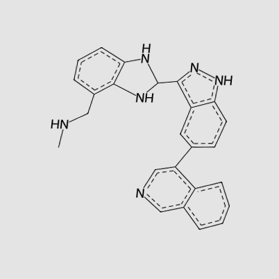 CNCc1cccc2c1NC(c1n[nH]c3ccc(-c4cncc5ccccc45)cc13)N2